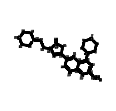 Nc1nc(N2CCOCC2)c2nc(C3=CN(CCN4CCOCC4)NC3)cnc2n1